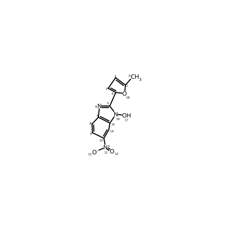 Cc1ccc(-c2nc3ccc([N+](=O)[O-])cc3n2O)o1